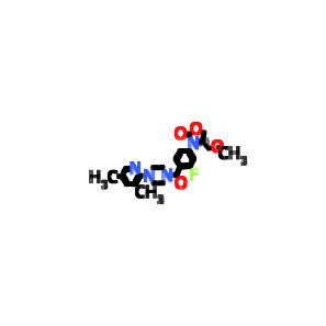 COC[C@@H]1COC(=O)N1c1ccc(C(=O)N2CCN(c3ncc(C)cc3C)CC2)c(F)c1